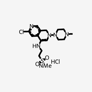 CNS(=O)(=O)CCNC1=CN(N2CCN(C)CC2)Cc2cnc(Cl)cc21.Cl